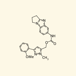 COc1ccccc1-c1cc(COC(=O)Nc2ccc3c(c2)nc2n3CCC2)n(C)n1